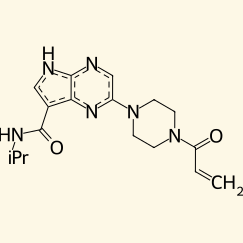 C=CC(=O)N1CCN(c2cnc3[nH]cc(C(=O)NC(C)C)c3n2)CC1